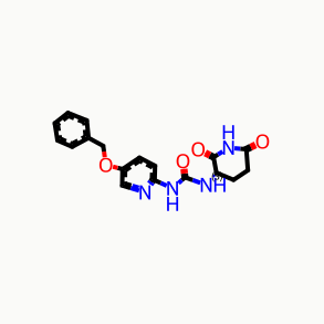 O=C1CC[C@H](NC(=O)Nc2ccc(OCc3ccccc3)cn2)C(=O)N1